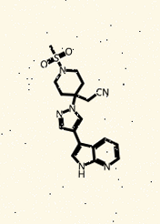 CS(=O)(=O)N1CCC(CC#N)(n2cc(-c3c[nH]c4ncccc34)cn2)CC1